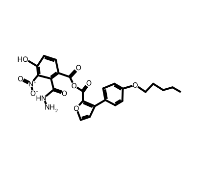 CCCCCOc1ccc(-c2ccoc2C(=O)OC(=O)c2ccc(O)c([N+](=O)[O-])c2C(=O)NN)cc1